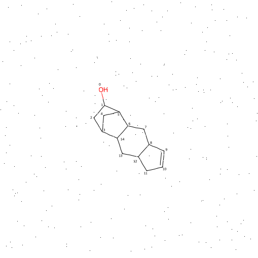 OC1CC2CC1C1CC3C=CCC3CC21